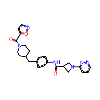 O=C(Nc1ccc(CC2CCN(C(=O)c3ccno3)CC2)cc1)C1CN(c2cccnn2)C1